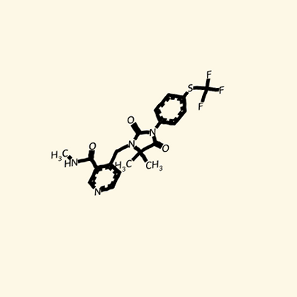 CNC(=O)c1cnccc1CN1C(=O)N(c2ccc(SC(F)(F)F)cc2)C(=O)C1(C)C